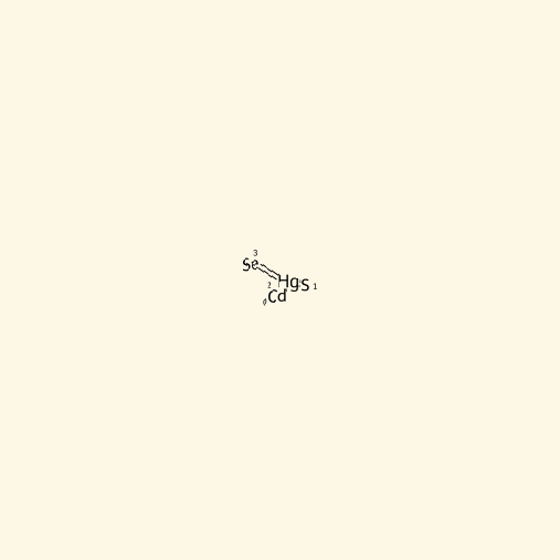 [Cd].[S]=[Hg]=[Se]